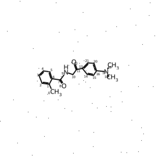 Cc1ccccc1C(=O)NCC(=O)c1ccc(N(C)C)cc1